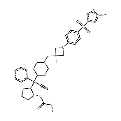 CNC(=O)O[C@@H]1CCC[C@H]1C(C#N)(c1ccccc1)C1CCN(CC2(C)CN(c3ccc(S(=O)(=O)c4cnn(C)c4)cc3)C2)CC1